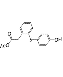 COC(=O)Cc1ccccc1Sc1ccc(O)cc1